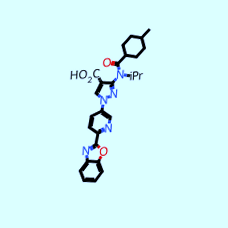 CC1CCC(C(=O)N(c2nn(-c3ccc(-c4nc5ccccc5o4)nc3)cc2C(=O)O)C(C)C)CC1